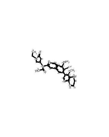 CCN1CC(N(C(=O)O)c2cc3cc(-c4cnc5c(c4C)NCCO5)c(F)c(N)c3cn2)CC1=O